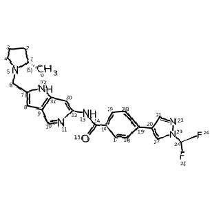 C[C@H]1CCCN1Cc1cc2cnc(NC(=O)c3ccc(-c4cnn(C(F)F)c4)cc3)cc2[nH]1